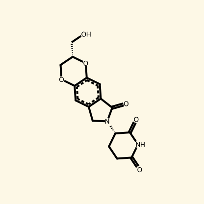 O=C1CC[C@H](N2Cc3cc4c(cc3C2=O)O[C@@H](CO)CO4)C(=O)N1